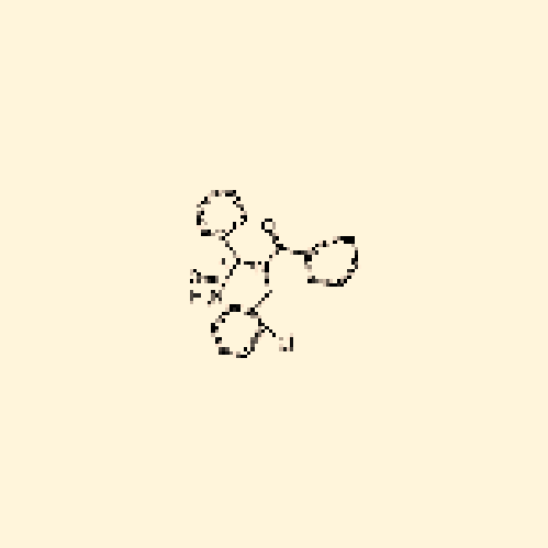 NC(=O)[C@@H](c1ccccc1)N(Cc1ccccc1Cl)C(=O)c1ccccc1